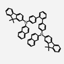 CC1(C)c2ccccc2-c2ccc(N(c3ccc(-c4ccccc4-c4ccc(N(c5ccc6c(c5)C(C)(C)c5ccccc5-6)c5ccc6ccccc6c5)cc4)cc3)c3ccc4ccccc4c3)cc21